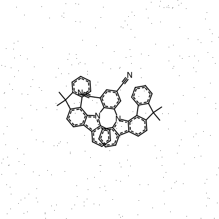 CC1(C)c2ccccc2-c2c1ccc1c3ccccc3n(-c3cc(C#N)cc(C#N)c3-n3c4ccccc4c4ccc5c(c43)-c3ccccc3C5(C)C)c21